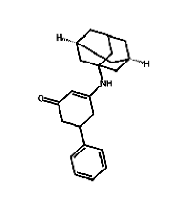 O=C1C=C(NC23CC4C[C@H](C2)C[C@@H](C4)C3)CC(c2ccccc2)C1